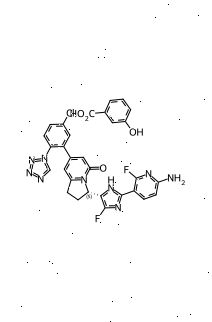 Nc1ccc(-c2nc(F)c([C@@H]3CCc4cc(-c5cc(Cl)ccc5-n5cnnn5)cc(=O)n43)[nH]2)c(F)n1.O=C(O)c1cccc(O)c1